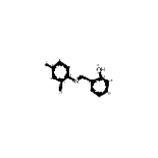 Cc1ccc(N=Cc2ccccc2O)c(C)c1